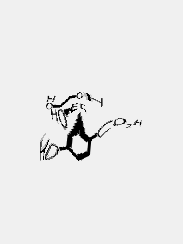 CCO.O=C(O)c1ccc(O)cc1.OCCO